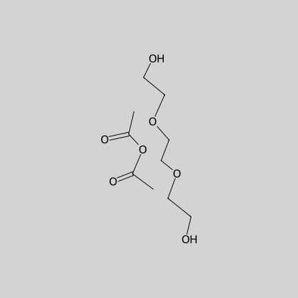 CC(=O)OC(C)=O.OCCOCCOCCO